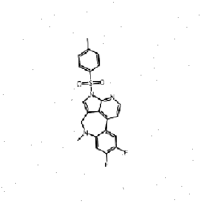 Cc1ccc(S(=O)(=O)n2cc3c4c(ccnc42)-c2cc(F)c(F)cc2N(C)C3)cc1